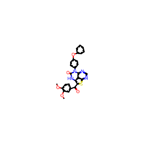 COc1ccc(C(=O)c2sc3ncnc4c3c2NC(=O)N4c2ccc(Oc3ccccc3)cc2)cc1OC